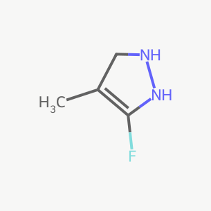 CC1=C(F)NNC1